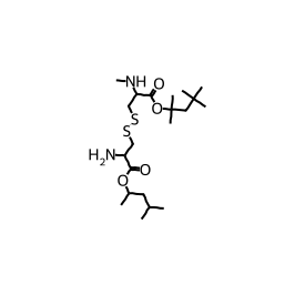 CNC(CSSCC(N)C(=O)OC(C)CC(C)C)C(=O)OC(C)(C)CC(C)(C)C